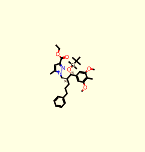 CCOC(=O)c1cc(C)n(C[C@H](CCCc2ccccc2)[C@H](O[Si](C)(C)C(C)(C)C)c2cc(OC)c(C)c(OC)c2)n1